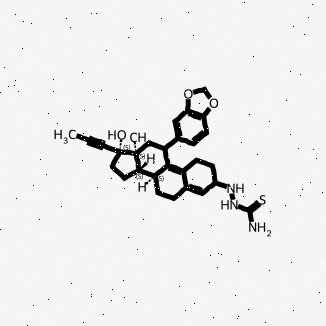 CC#C[C@]1(O)CC[C@H]2[C@@H]3CCC4=CC(NNC(N)=S)CCC4=C3C(c3ccc4c(c3)OCO4)C[C@@]21C